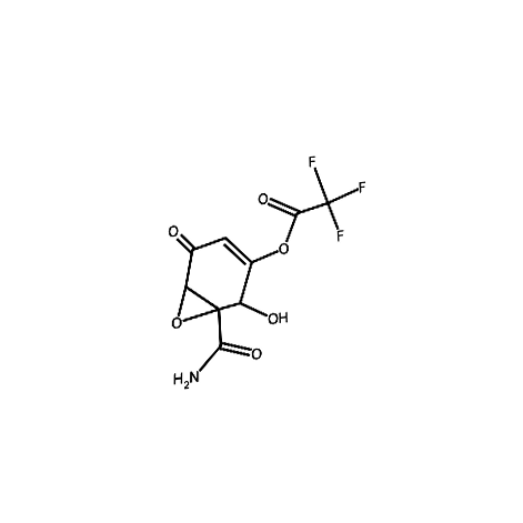 NC(=O)C12OC1C(=O)C=C(OC(=O)C(F)(F)F)C2O